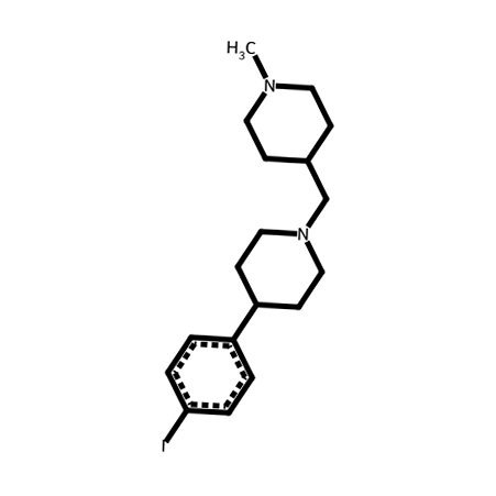 CN1CCC(CN2CCC(c3ccc(I)cc3)CC2)CC1